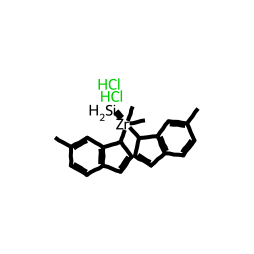 Cc1ccc2c(c1)[CH]([Zr]([CH3])([CH3])(=[SiH2])[CH]1C=Cc3ccc(C)cc31)C=C2.Cl.Cl